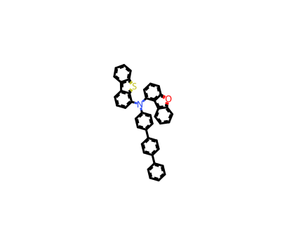 c1ccc(-c2ccc(-c3ccc(N(c4cccc5c4sc4ccccc45)c4cccc5oc6ccccc6c45)cc3)cc2)cc1